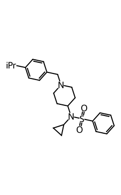 CC(C)c1ccc(CN2CCC(N(C3CC3)S(=O)(=O)c3ccccc3)CC2)cc1